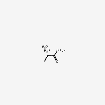 CCC(=O)O.O.O.[Zn]